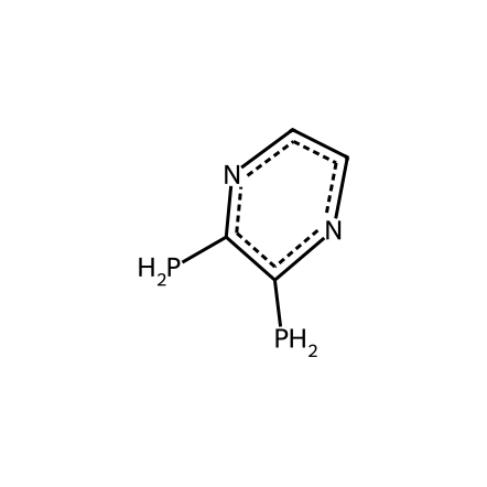 Pc1nccnc1P